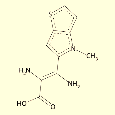 Cn1c(C(N)=C(N)C(=O)O)cc2sccc21